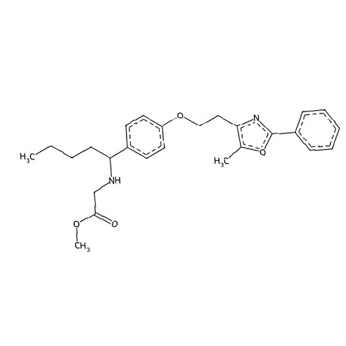 CCCCC(NCC(=O)OC)c1ccc(OCCc2nc(-c3ccccc3)oc2C)cc1